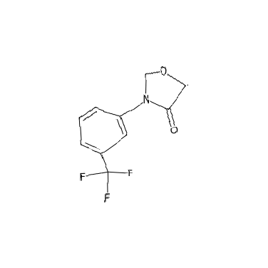 O=C1[CH]OCN1c1cccc(C(F)(F)F)c1